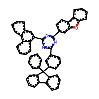 c1ccc(C2(c3cccc(-c4nc(-c5ccc6c(c5)oc5ccccc56)nc(-c5cc6ccccc6c6ccccc56)n4)c3)c3ccccc3-c3ccccc32)cc1